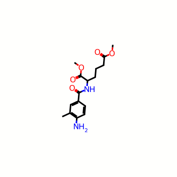 COC(=O)CCCC(NC(=O)c1ccc(N)c(C)c1)C(=O)OC